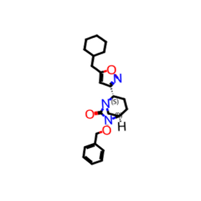 O=C1N2C[C@@H](CC[C@H]2c2cc(CC3CCCCC3)on2)N1OCc1ccccc1